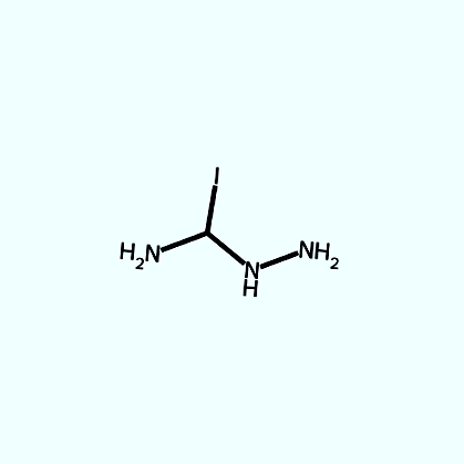 NNC(N)I